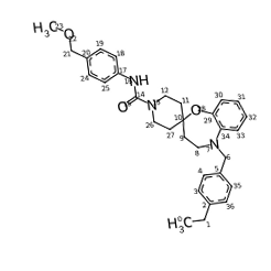 CCc1ccc(CN2CCC3(CCN(C(=O)Nc4ccc(COC)cc4)CC3)Oc3ccccc32)cc1